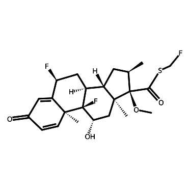 CO[C@]1(C(=O)SCF)[C@H](C)C[C@H]2[C@@H]3C[C@H](F)C4=CC(=O)C=C[C@]4(C)[C@@]3(F)[C@@H](O)C[C@@]21C